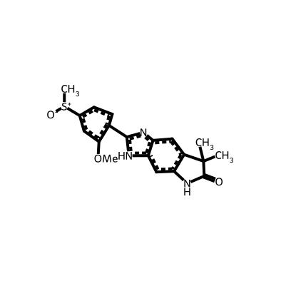 COc1cc([S+](C)[O-])ccc1-c1nc2cc3c(cc2[nH]1)NC(=O)C3(C)C